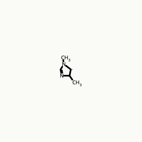 CC1[CH]N(C)C=N1